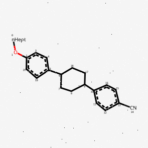 CCCCCCCOc1ccc(C2CCC(c3ccc(C#N)cc3)CC2)cc1